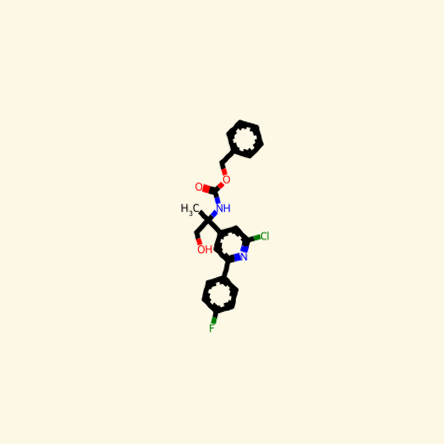 CC(CO)(NC(=O)OCc1ccccc1)c1cc(Cl)nc(-c2ccc(F)cc2)c1